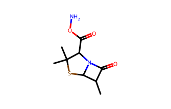 CC1C(=O)N2C1SC(C)(C)C2C(=O)ON